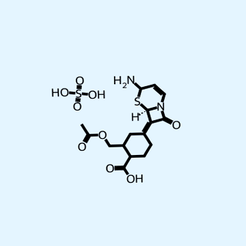 CC(=O)OCC1CC(=C2C(=O)N3C=CC(N)S[C@H]23)CCC1C(=O)O.O=S(=O)(O)O